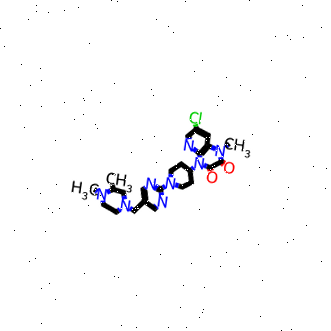 CC1CN(Cc2cnc(N3CCC(n4c(=O)c(=O)n(C)c5cc(Cl)cnc54)CC3)nc2)CCN1C